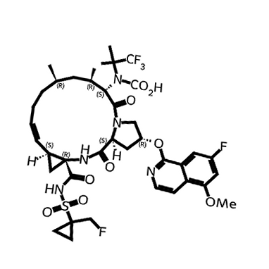 COc1cc(F)cc2c(O[C@@H]3C[C@H]4C(=O)N[C@]5(C(=O)NS(=O)(=O)C6(CF)CC6)C[C@H]5C=CCC[C@@H](C)C[C@@H](C)[C@H](N(C(=O)O)C(C)(C)C(F)(F)F)C(=O)N4C3)nccc12